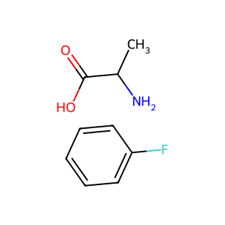 CC(N)C(=O)O.Fc1ccccc1